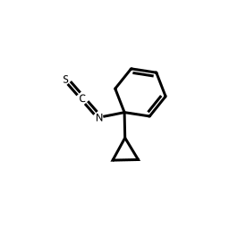 S=C=NC1(C2CC2)C=CC=CC1